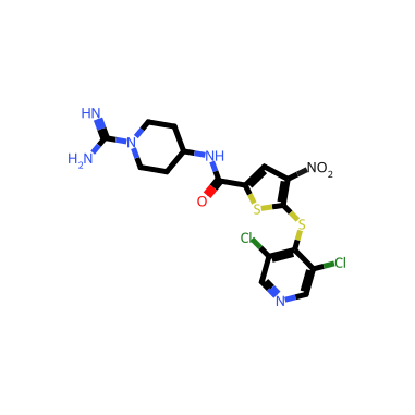 N=C(N)N1CCC(NC(=O)c2cc([N+](=O)[O-])c(Sc3c(Cl)cncc3Cl)s2)CC1